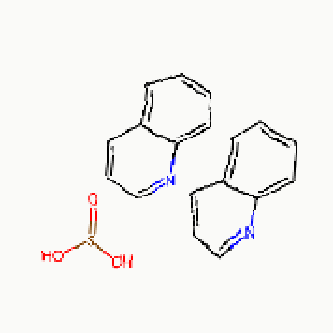 O=S(O)O.c1ccc2ncccc2c1.c1ccc2ncccc2c1